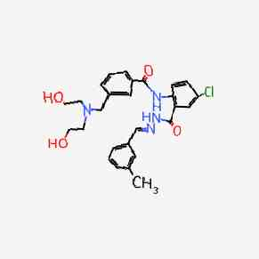 Cc1cccc(C=NNC(=O)c2cc(Cl)ccc2NC(=O)c2cccc(CN(CCO)CCO)c2)c1